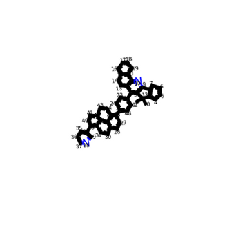 CC1(C)c2ccccc2-c2nc3c(ccc4ccccc43)c(-c3ccc(-c4ccc5ccc6c(-c7cccnc7)ccc7ccc4c5c76)cc3)c21